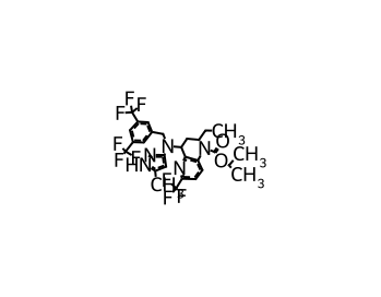 CCC1CC(N(Cc2cc(C(F)(F)F)cc(C(F)(F)F)c2)c2cc(C)[nH]n2)c2nc(C(F)(F)F)ccc2N1C(=O)OC(C)C